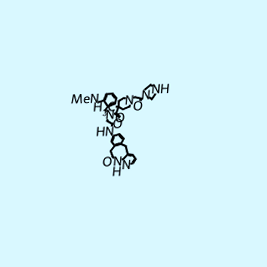 CNCc1ccccc1CN(CC(=O)Nc1ccc2c(c1)CC(=O)Nc1ncccc1C2)C(=O)C1(C)CCN(CC(=O)N2CCNCC2)CC1